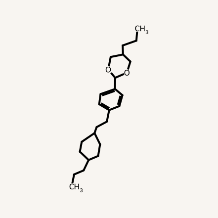 CCCC1CCC(CCc2ccc(C3OCC(CCC)CO3)cc2)CC1